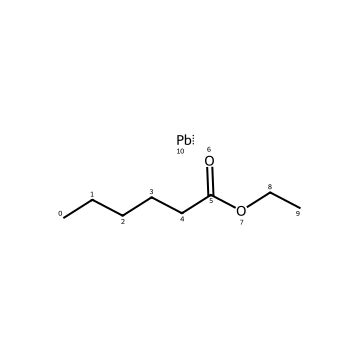 CCCCCC(=O)OCC.[Pb]